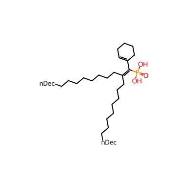 CCCCCCCCCCCCCCCCCCC(CCCCCCCCCCCCCCCCCC)=C(C1=CCCCC1)P(=O)(O)O